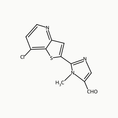 Cn1c(C=O)cnc1-c1cc2nccc(Cl)c2s1